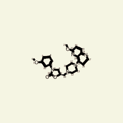 COc1cccc(N2C[C@@H](CN3CCN(c4ccnc5ccc(OC)nc45)CC3)OC2=O)c1